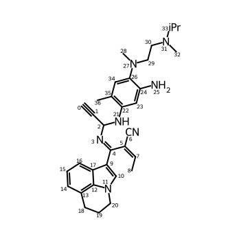 C#CC(/N=C(\C(C#N)=C/C)c1cn2c3c(cccc13)CCC2)Nc1cc(N)c(N(C)CCN(C)C(C)C)cc1C